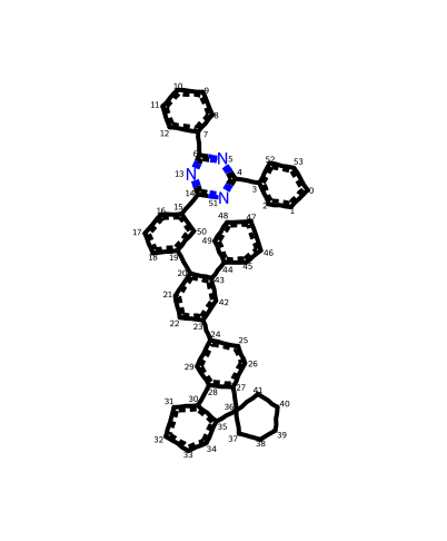 c1ccc(-c2nc(-c3ccccc3)nc(-c3cccc(-c4ccc(-c5ccc6c(c5)-c5ccccc5C65CCCCC5)cc4-c4ccccc4)c3)n2)cc1